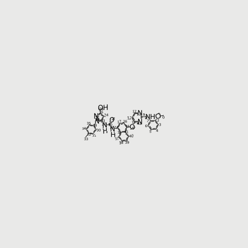 COc1ccccc1Nc1nccc(Oc2ccc(NC(=O)Nc3cc(O)nn3-c3ccc(C)cc3)c3ccccc23)n1